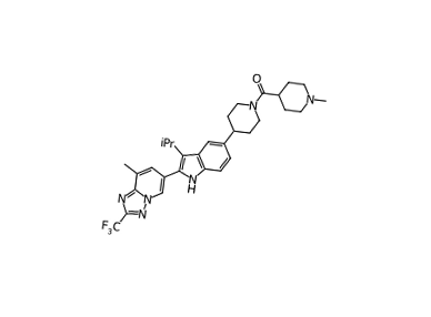 Cc1cc(-c2[nH]c3ccc(C4CCN(C(=O)C5CCN(C)CC5)CC4)cc3c2C(C)C)cn2nc(C(F)(F)F)nc12